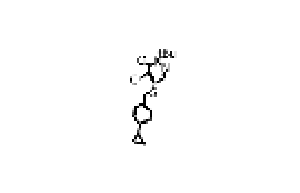 CC(C)(C)n1ncc(SCc2ccc(C3CC3)cc2)c(Cl)c1=O